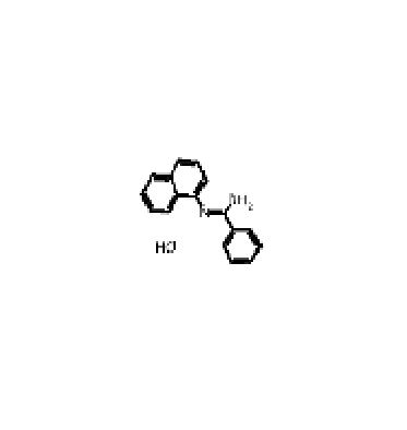 Cl.N/C(=N\c1cccc2ccccc12)c1ccccc1